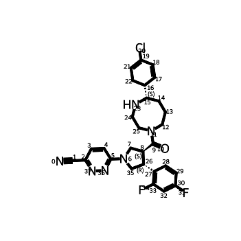 N#Cc1ccc(N2C[C@@H](C(=O)N3CCC[C@@H](C4C=CC(Cl)=CC4)NCC3)[C@H](c3ccc(F)cc3F)C2)nn1